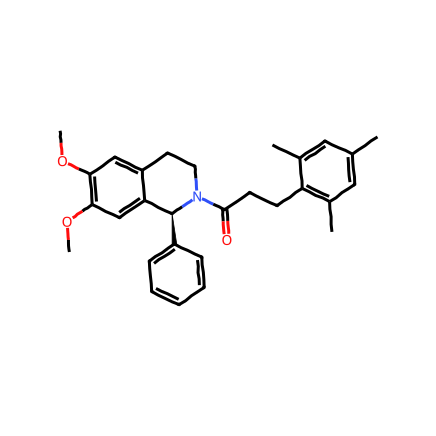 COc1cc2c(cc1OC)[C@H](c1ccccc1)N(C(=O)CCc1c(C)cc(C)cc1C)CC2